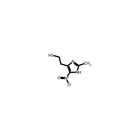 Cc1nc(CCS)c([N+](=O)[O-])[nH]1